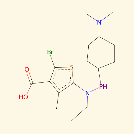 CCN(PC1CCC(N(C)C)CC1)c1sc(Br)c(C(=O)O)c1C